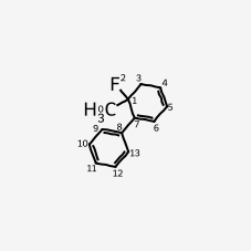 CC1(F)CC=CC=C1c1ccccc1